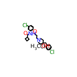 CC1(C)CN(CCCOc2ccc(Cl)cc2NC(=O)C2CCC2)CCC1(O)Cc1ccc(Cl)cc1